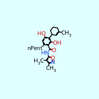 CCCCCc1cc(O)c(C2C=C(C)CCC2)c(O)c1C(=O)Nc1onc(C)c1C